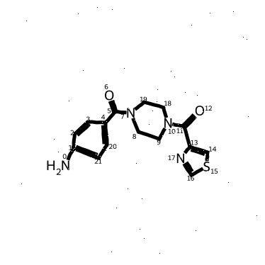 Nc1ccc(C(=O)N2CCN(C(=O)c3cscn3)CC2)cc1